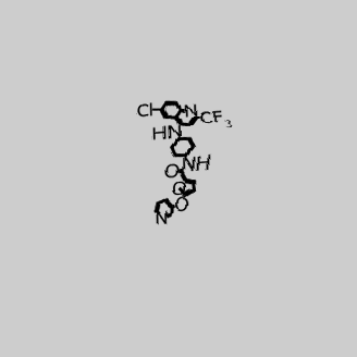 O=C(N[C@H]1CC[C@@H](Nc2cc(C(F)(F)F)nc3ccc(Cl)cc23)CC1)c1ccc(Oc2cccnc2)o1